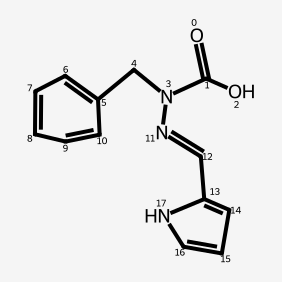 O=C(O)N(Cc1ccccc1)N=Cc1ccc[nH]1